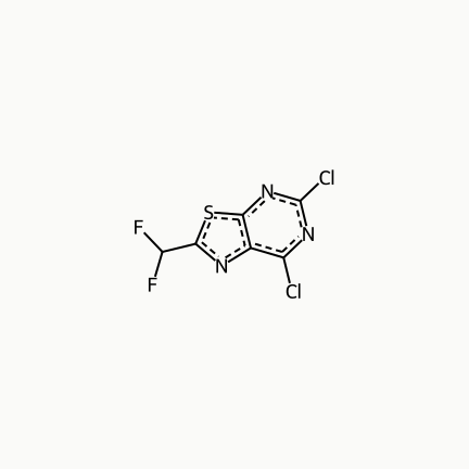 FC(F)c1nc2c(Cl)nc(Cl)nc2s1